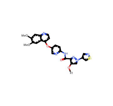 CCOc1cn(-c2cnsc2)nc1C(=O)Nc1ccc(Oc2ccnc3cc(OC)c(OC)cc23)cn1